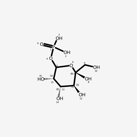 O=P(O)(O)OC1O[C@](O)(CO)[C@@H](O)[C@H](O)[C@@H]1O